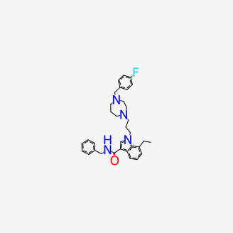 CCc1cccc2c(C(=O)NCc3ccccc3)cn(CCCN3CCCN(Cc4ccc(F)cc4)CC3)c12